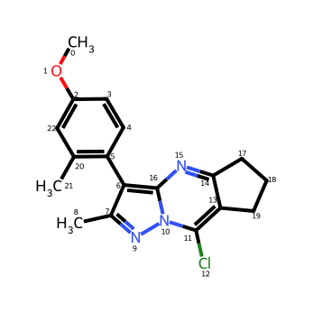 COc1ccc(-c2c(C)nn3c(Cl)c4c(nc23)CCC4)c(C)c1